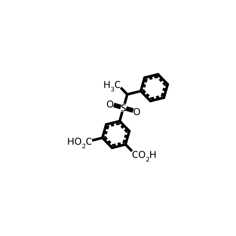 CC(c1ccccc1)S(=O)(=O)c1cc(C(=O)O)cc(C(=O)O)c1